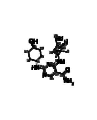 C[C@@H]1C2(Nc3nc(N[C@H]4CC[C@H](O)CC4)ncc3C(N)=O)CC1(C(C)(C)C)C2